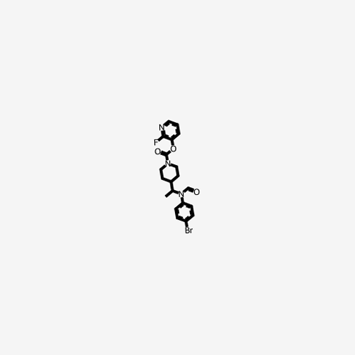 CC(C1CCN(C(=O)Oc2cccnc2F)CC1)N(C=O)c1ccc(Br)cc1